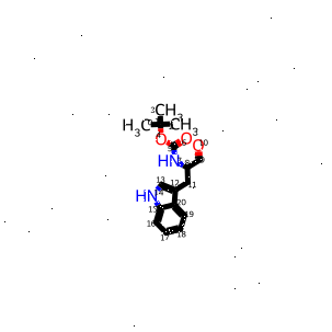 CC(C)(C)OC(=O)NC(C=O)Cc1c[nH]c2ccccc12